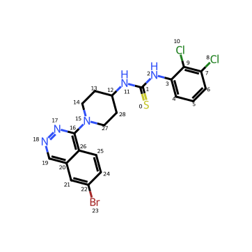 S=C(Nc1cccc(Cl)c1Cl)NC1CCN(c2nncc3cc(Br)ccc23)CC1